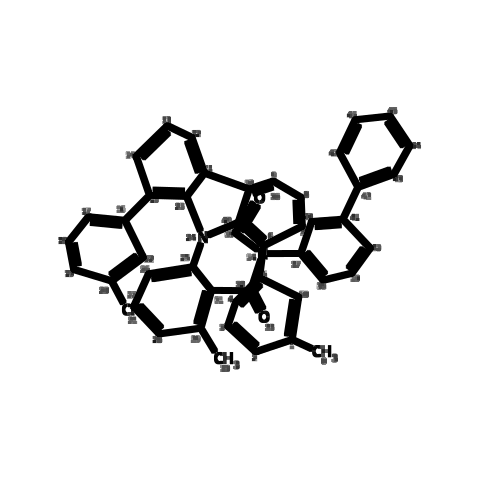 Cc1cccc(-c2cccc3c4cccc(-c5cccc(C)c5)c4n(-c4cccc(C)c4C(=O)N(C=O)c4cccc(-c5ccccc5)c4)c23)c1